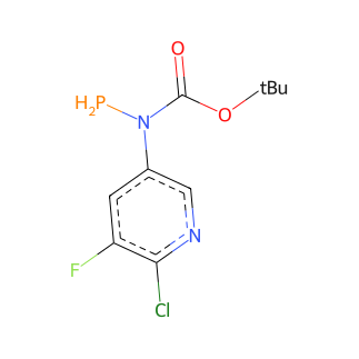 CC(C)(C)OC(=O)N(P)c1cnc(Cl)c(F)c1